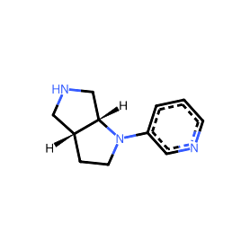 c1cncc(N2CC[C@@H]3CNC[C@@H]32)c1